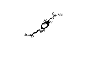 CNC(=O)CCCn1nnc2c1CC[C@H]1[C@@H](CC2)[C@H]1COC(=O)NC